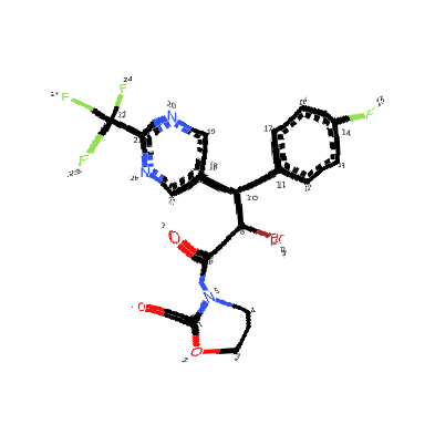 O=C1OCCN1C(=O)C(Br)C(c1ccc(F)cc1)c1cnc(C(F)(F)F)nc1